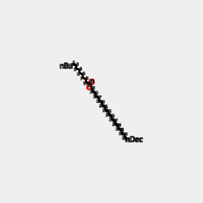 CCCC/C=C\CCCCCCCC(=O)OCCCCCCCCCCCCCCCCCCCCCCCCCCCCCCCC